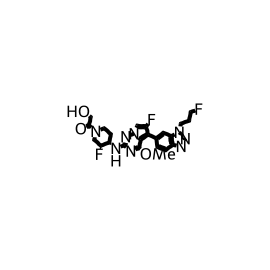 COc1nc(N[C@H]2CCN(C(=O)CO)C[C@H]2F)nn2cc(F)c(-c3ccc4nnn(CCCF)c4c3)c12